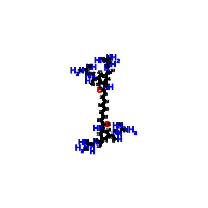 C/C(=N\NC(=N)N)C1=CC(/C(C)=N/NC(=N)N)CC(NC(=O)CCCCCCCCC(=O)Nc2cc(/C(C)=N/NC(=N)N)cc(/C(C)=N/NC(=N)N)c2)=C1